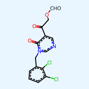 O=COCC(=O)c1cncn(Cc2cccc(Cl)c2Cl)c1=O